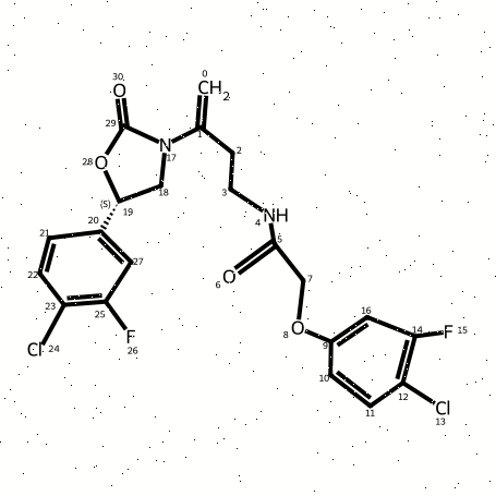 C=C(CCNC(=O)COc1ccc(Cl)c(F)c1)N1C[C@H](c2ccc(Cl)c(F)c2)OC1=O